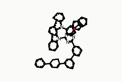 C1=C(c2ccccc2)CCC(c2cccc(-c3cccc(-c4nc(-c5ccccc5)nc(-n5c6ccccc6c6ccc7c8ccccc8n(-c8cccc(-c9ccccc9)c8)c7c65)n4)c3)c2)=C1